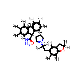 [2H]c1c([2H])c([2H])c(C(C(N)=O)(c2c([2H])c([2H])c([2H])c([2H])c2[2H])[C@@H]2CCN(C([2H])([2H])Cc3c([2H])c([2H])c4c(c3[2H])CC([2H])([2H])O4)C2)c([2H])c1[2H]